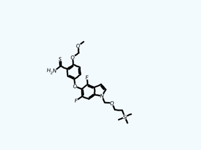 COCOc1ccc(Oc2c(F)cc3c(ccn3COCC[Si](C)(C)C)c2F)cc1C(N)=S